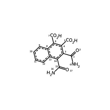 NC(=O)c1c(C(=O)O)c(C(=O)O)c2ccccc2c1C(N)=O